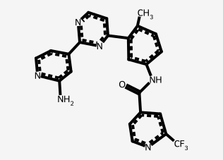 Cc1ccc(NC(=O)c2ccnc(C(F)(F)F)c2)cc1-c1ccnc(-c2ccnc(N)c2)n1